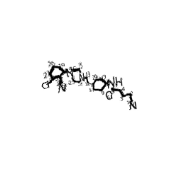 N#CCCCC(=O)N[C@H]1CC[C@H](CCN2CCN(c3cccc(Cl)c3C#N)CC2)CC1